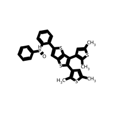 Cc1cc(-c2sc3cc(-c4ccccc4[PH](=O)c4ccccc4)sc3c2-c2cc(C)sc2C)c(C)s1